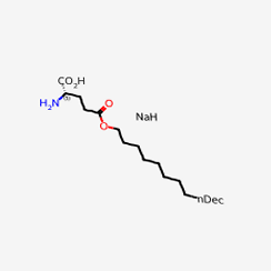 CCCCCCCCCCCCCCCCCCOC(=O)CC[C@H](N)C(=O)O.[NaH]